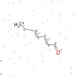 CC/C=C/C=C/C=O